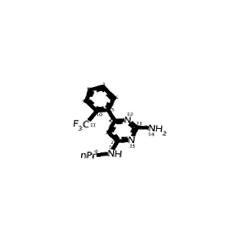 [CH2]CCNc1cc(-c2ccccc2C(F)(F)F)nc(N)n1